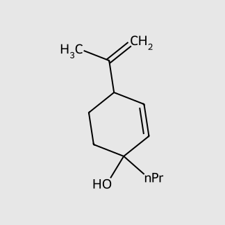 C=C(C)C1C=CC(O)(CCC)CC1